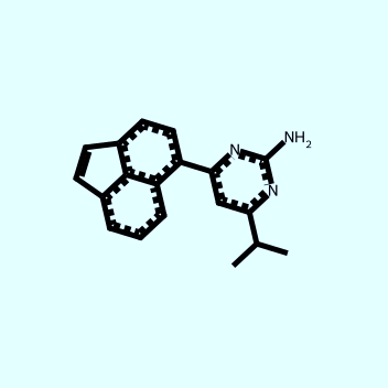 CC(C)c1cc(-c2ccc3c4c(cccc24)C=C3)nc(N)n1